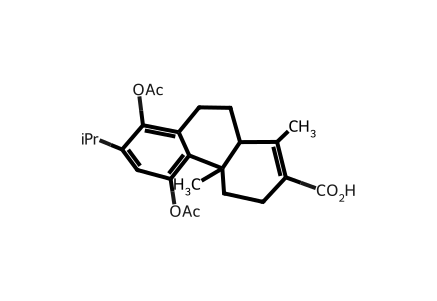 CC(=O)Oc1cc(C(C)C)c(OC(C)=O)c2c1C1(C)CCC(C(=O)O)=C(C)C1CC2